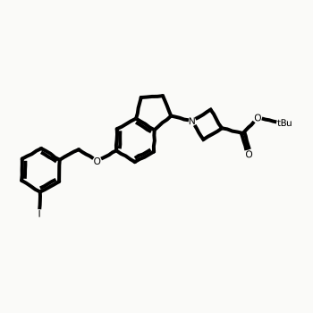 CC(C)(C)OC(=O)C1CN(C2CCc3cc(OCc4cccc(I)c4)ccc32)C1